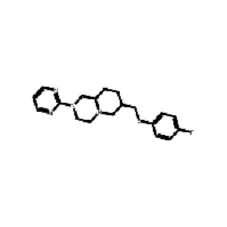 Fc1ccc(SCC2CCC3CN(c4ncccn4)CCN3C2)cc1